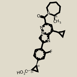 C[C@@H]1CCCCCN1C(=O)c1cc(C2CC2)c2nc(-c3ccc([C@H]4C[C@@H]4C(=O)O)cc3F)cn2n1